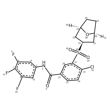 O=C(Nc1cc(F)c(F)c(F)c1)c1ccc(Cl)c(S(=O)(=O)[C@H]2C[C@H]3CC[C@@H](C2)O3)c1